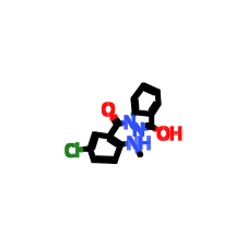 CNc1ccc(Cl)cc1C(=O)n1nc(O)c2ccccc21